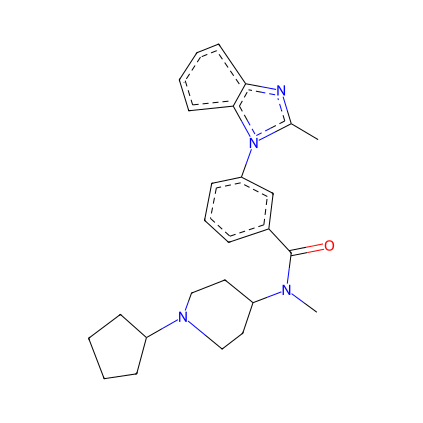 Cc1nc2ccccc2n1-c1cccc(C(=O)N(C)C2CCN(C3CCCC3)CC2)c1